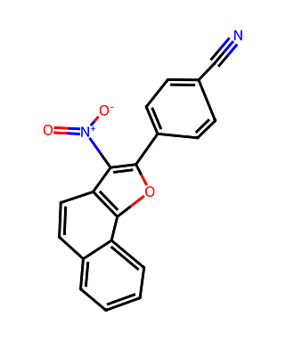 N#Cc1ccc(-c2oc3c(ccc4ccccc43)c2[N+](=O)[O-])cc1